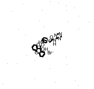 O=C(C[N+]12CCC(CC1)[C@@H](OC(=O)C1(O)c3ccccc3Oc3ccccc31)C2)Nc1ncncn1.[Br-]